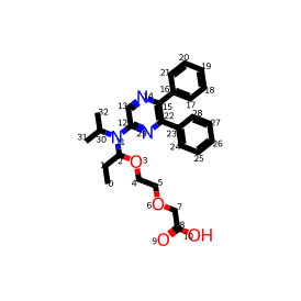 CCC(OCCOCC(=O)O)N(c1cnc(-c2ccccc2)c(-c2ccccc2)n1)C(C)C